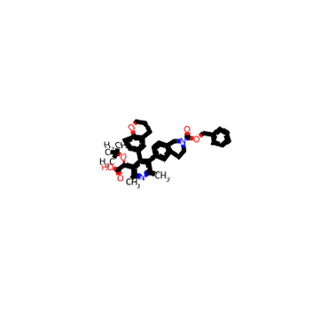 Cc1nc(C)c([C@H](OC(C)(C)C)C(=O)O)c(-c2ccc3c(c2)CCCO3)c1-c1ccc2c(c1)CCN(C(=O)OCc1ccccc1)C2